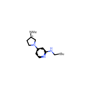 CN[C@@H]1CCN(c2ccnc(NCC(C)(C)C)c2)C1